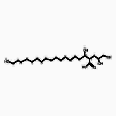 O=C(O)C(CC(O)CO)C(O)CCCCCCCCCCCCCCCO